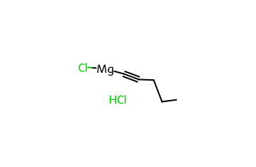 CCCC#[C][Mg][Cl].Cl